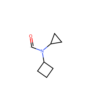 O=[C]N(C1CCC1)C1CC1